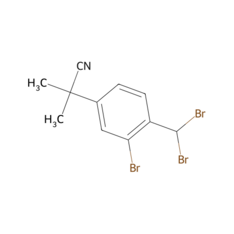 CC(C)(C#N)c1ccc(C(Br)Br)c(Br)c1